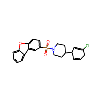 O=S(=O)(c1ccc2oc3ccccc3c2c1)N1CCC(C2C=CCC(Cl)=C2)CC1